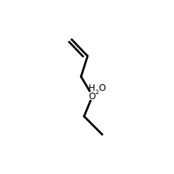 C=CCOCC.O